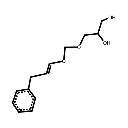 OCC(O)COCOC=CCc1ccccc1